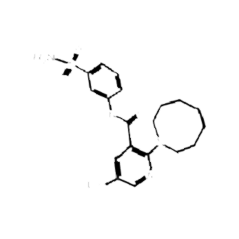 NS(=O)(=O)c1cccc(NC(=O)c2cc(C(F)(F)F)cnc2N2CCCCCCC2)c1